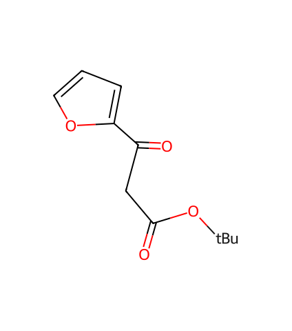 CC(C)(C)OC(=O)CC(=O)c1ccco1